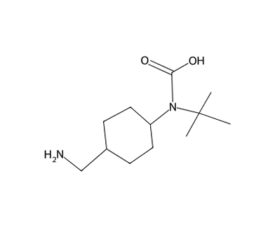 CC(C)(C)N(C(=O)O)C1CCC(CN)CC1